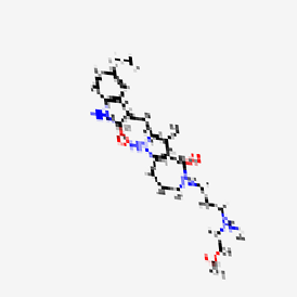 Bc1ccc2c(c1)/C(=C/c1[nH]c3c(c1C)C(=O)N(CCCN(C)CCOCC)CCC3)C(=O)N2